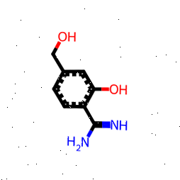 N=C(N)c1ccc(CO)cc1O